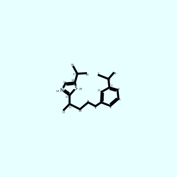 CC(C)c1cccc(CCCC(C)c2ncc(C(C)C)s2)c1